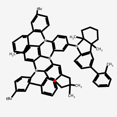 Cc1cc2c3c(c1)N(c1ccc(C(C)(C)C)cc1-c1ccccc1)c1cc4c(cc1B3c1cc(N3c5ccc(-c6ccccc6C)cc5C5(C)CCCCC35C)ccc1N2c1ccc(C(C)(C)C)cc1-c1ccccc1)CC(C)(C)C4